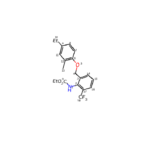 CCOC(=O)Nc1c(COc2ccc(CC)cc2C)cccc1C(F)(F)F